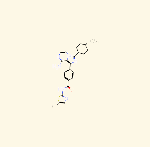 CCc1cnc(NC(=O)c2ccc(-c3nc(C4CCC(OC)CC4)n4ccnc(N)c34)cc2)s1